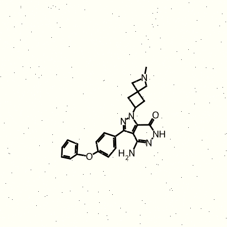 CN1CC2(CC(n3nc(-c4ccc(Oc5ccccc5)cc4)c4c(N)n[nH]c(=O)c43)C2)C1